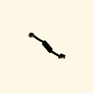 CCCC#C[C](C)C